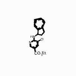 CCOC(=O)c1cnc(NC2CCc3ccccc32)c(Cl)c1